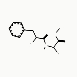 CC(C)C(C(=O)OC(C)(C)C)N(O)C(=O)C(N)Cc1ccccc1